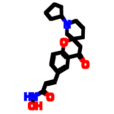 O=C(C=Cc1ccc2c(c1)C(=O)CC1(CCCN(C3CCCC3)C1)O2)NO